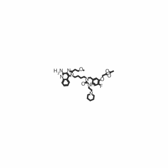 COCCc1nc2c(N)nc3ccccc3c2n1CCCCN(Cc1ccc(F)c(OCC2OC(C)O2)c1)C(=O)NCCN1CCCCC1